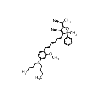 CCCCN(CCCC)c1ccc(/C=C/C=C/C=C/C2=C(C#N)C(=C(/C)C#N)/OC2(C)c2ccccc2)c(OC)c1